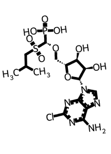 CC(C)CS(=O)(=O)[C@@H](OC[C@H]1O[C@@H](n2cnc3c(N)nc(Cl)nc32)[C@H](O)[C@@H]1O)P(=O)(O)O